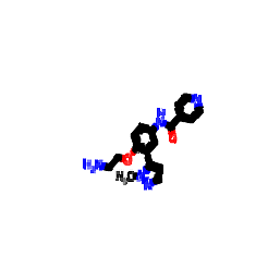 Cn1nccc1-c1cc(NC(=O)c2ccncc2)ccc1OCCN